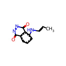 CC=CNc1cccc2c1C(=O)N=NC2=O